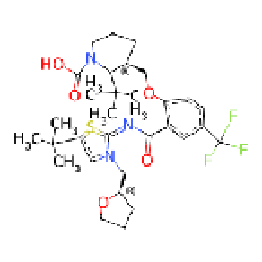 CC(C)(C)c1cn(C[C@H]2CCCO2)c(=NC(=O)c2cc(C(F)(F)F)ccc2OC[C@@H]2CCCN(C(=O)O)C2C(C)(C)C)s1